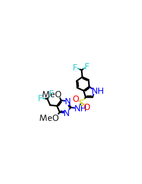 COc1nc(NS(=O)(=O)c2c[nH]c3cc(C(F)F)ccc23)nc(OC)c1CC(F)F